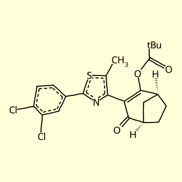 Cc1sc(-c2ccc(Cl)c(Cl)c2)nc1C1=C(OC(=O)C(C)(C)C)[C@H]2CC[C@H](C2)C1=O